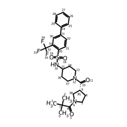 CC(C)(C)C(=O)N1CC[C@@H](C(=O)N2CCC(NS(=O)(=O)c3ccc(-c4ccccc4)cc3C(F)(F)F)CC2)C1